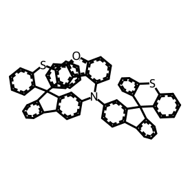 c1ccc2c(c1)Sc1ccccc1C21c2ccccc2-c2ccc(N(c3ccc4c(c3)C3(c5ccccc5Sc5ccccc53)c3ccccc3-4)c3cccc4oc5ccccc5c34)cc21